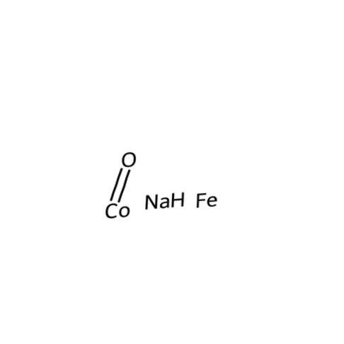 [Fe].[NaH].[O]=[Co]